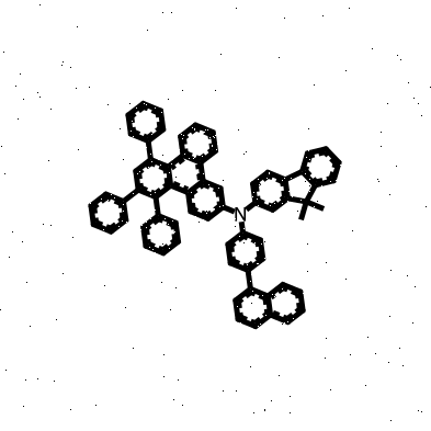 CC1(C)c2ccccc2-c2ccc(N(c3ccc(-c4cccc5ccccc45)cc3)c3ccc4c(c3)c3ccccc3c3c(-c5ccccc5)cc(-c5ccccc5)c(-c5ccccc5)c43)cc21